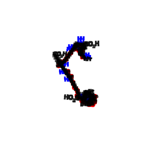 CCCNC(=O)Nc1cccc(S(=O)(=O)Nc2cccc([C@@H](CC(=O)O)NC(=O)Nc3ccc(NC(=O)NCCOCCOCCOCCC(=O)N[C@@H](CCCCNC(=O)CCCC(=O)NCCOCCOCCOCCC(=O)N[C@@H](CC(=O)O)C(=O)N4CCC[C@H]4C(=O)N[C@H](C(=O)O[C@]4(CC)C(=O)OCc5c4cc4n(c5=O)Cc5c-4nc4ccccc4c5CC)C(C)C)C(=O)NCCCCCCCC(=O)O)cc3)c2)c1